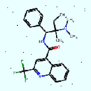 CCC(C)(C(NC(=O)c1cc(C(F)(F)F)nc2ccccc12)c1ccccc1)N(C)C